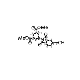 C#Cc1ccc2c(c1)C(=O)N(c1cc(C(=O)OC)cc(C(=O)OC)c1)C2=O